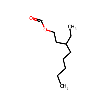 CCCCCC(CC)CCO[C]=O